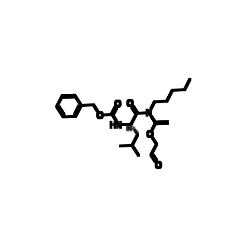 C=C(OCC=O)N(CCCCC)C(=O)[C@H](CC(C)C)NC(=O)OCc1ccccc1